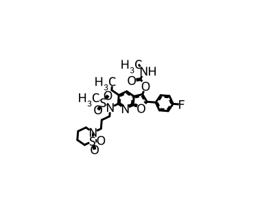 CCc1cc2c(OC(=O)NC)c(-c3ccc(F)cc3)oc2nc1N(CCCN1CCCCS1(=O)=O)S(C)(=O)=O